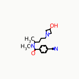 CC(CCCN1CC(O)C1)N(C)C(=O)c1ccc(C#N)cc1